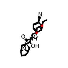 CCCCCCNC(=O)N1CC2CCC(C1)N2CC(O)COc1ccc(C#N)cc1